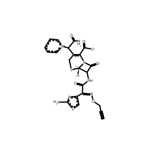 C#CCON=C(C(=O)NC1C(=O)N2C(C(=O)[O-])=C(C(C(N)=O)[n+]3ccccc3)CS[C@@H]12)c1csc(N)n1